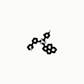 Fc1ccc(-c2nc(-c3cccc(-c4cccnc4)c3)nc(-c3ccc4ccc5cccc6ccc3c4c56)n2)cc1